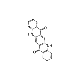 O=c1c2c([nH]c3cc4c(=O)c5ccccc5[nH]c4cc13)C=CCC2